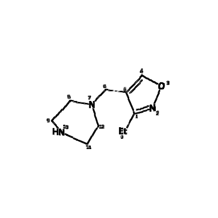 CCc1nocc1CN1CCNCC1